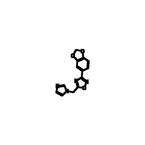 c1cn(Cc2nc(-c3ccc4c(c3)OCO4)no2)cn1